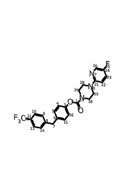 O=C(Oc1ccc(Cc2ccc(C(F)(F)F)cc2)cc1)N1CCN(c2ccc(F)cn2)CC1